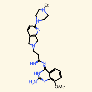 CCN1CCN(c2ccc3c(n2)CN(CCC(=N)/N=c2\[nH]c(N)nc4c(OC)cccc24)C3)CC1